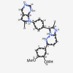 COc1ccc(-c2ccc3nc(C)c(-c4ccc(-n5c(C)cc6cncnc65)cc4)n3n2)cc1OC